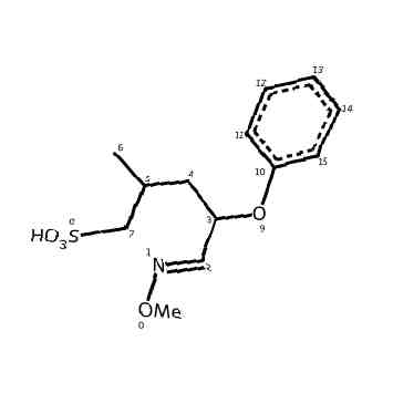 CON=CC(CC(C)CS(=O)(=O)O)Oc1ccccc1